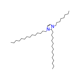 CCCCCCCCCCCCCCC1N(CCCCCCCC)C=CN1CCCCCCCCCCCCCC